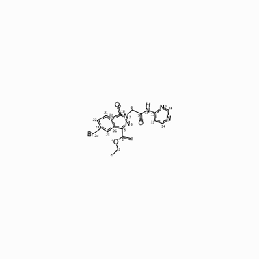 C=C(OCC)c1nn(CC(=O)Nc2ccncn2)c(=O)c2ccc(Br)cc12